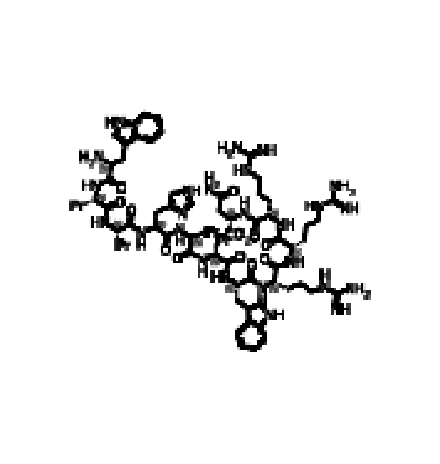 CC(C)[C@H](NC(=O)[C@H](Cc1c[nH]cn1)NC(=O)[C@@H](NC(=O)[C@@H](NC(=O)[C@@H](N)Cc1c[nH]c2ccccc12)C(C)C)C(C)C)C(=O)N[C@H](C(=O)N[C@@H](Cc1c[nH]c2ccccc12)C(=O)N[C@@H](CCCNC(=N)N)C(=O)N[C@@H](CCCNC(=N)N)C(=O)N[C@@H](CCCNC(=N)N)C(=O)N[C@@H](CC(N)=O)C(=O)O)C(C)C